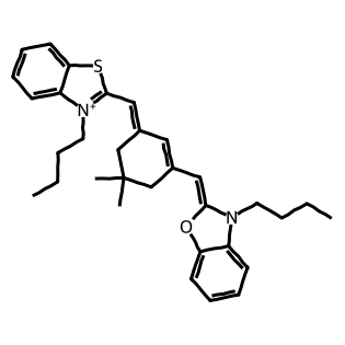 CCCCN1/C(=C/C2=CC(=C/c3sc4ccccc4[n+]3CCCC)/CC(C)(C)C2)Oc2ccccc21